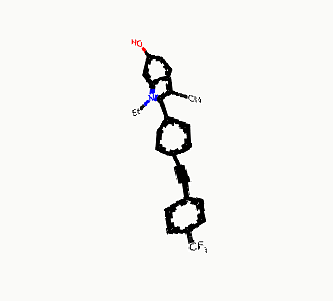 CCn1c(-c2ccc(C#Cc3ccc(C(F)(F)F)cc3)cc2)c(C#N)c2ccc(O)cc21